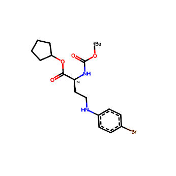 CC(C)(C)OC(=O)N[C@@H](CCNc1ccc(Br)cc1)C(=O)OC1CCCC1